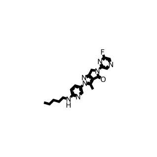 CCCCCNc1ccc(-n2nc3c(c2C)C(=O)N(c2cncc(F)n2)C3)cn1